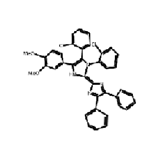 COc1ccc(C2=C(c3ccccc3Cl)N(c3ccccc3Cl)C(=C3N=C(c4ccccc4)C(c4ccccc4)=N3)N2)cc1OC